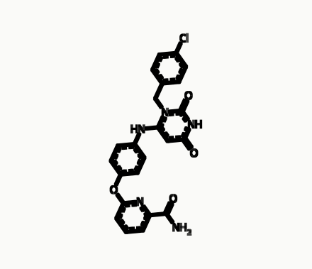 NC(=O)c1cccc(Oc2ccc(Nc3cc(=O)[nH]c(=O)n3Cc3ccc(Cl)cc3)cc2)n1